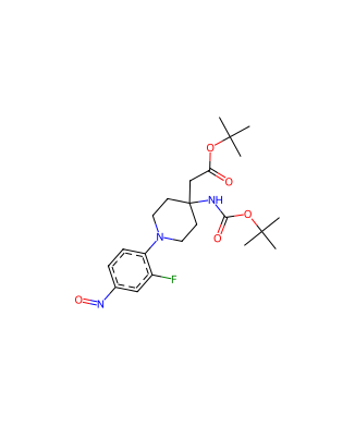 CC(C)(C)OC(=O)CC1(NC(=O)OC(C)(C)C)CCN(c2ccc(N=O)cc2F)CC1